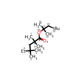 CCC(C)(C)CC(C)(C)C(=O)OC(C)(C)CC(C)(C)C